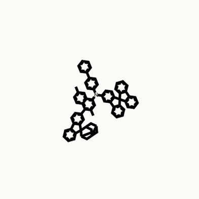 Cc1ccc2c(-c3ccc4c(c3)C3(c5ccccc5-4)C4CC5CC(C4)CC3C5)c(C)cc(N(c3ccc(-c4ccccc4)cc3)c3ccc4c(c3)-c3ccccc3C43c4ccccc4-c4ccccc43)c2c1